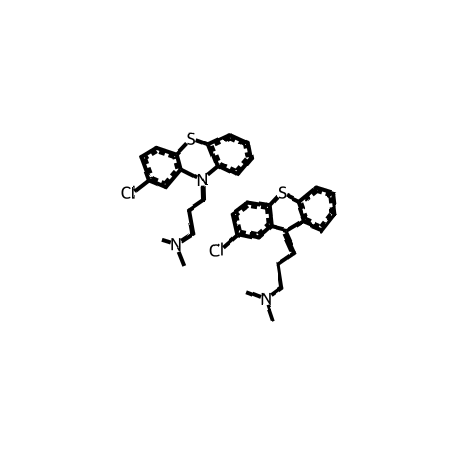 CN(C)CC/C=C1/c2ccccc2Sc2ccc(Cl)cc21.CN(C)CCCN1c2ccccc2Sc2ccc(Cl)cc21